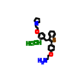 Cl.Cl.NCCOc1ccc(-c2sc3ccccc3c2Cc2ccc(OCCN3CCCC3)cc2)cc1